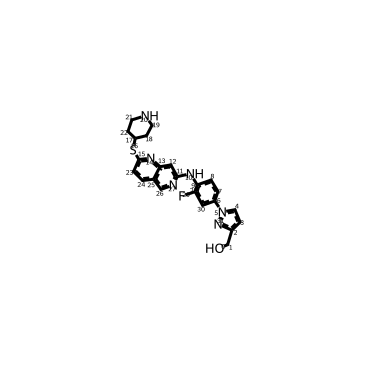 OCc1ccn(-c2ccc(Nc3cc4nc(SC5CCNCC5)ccc4cn3)c(F)c2)n1